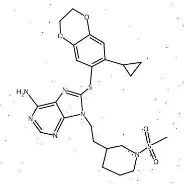 CS(=O)(=O)N1CCCC(CCn2c(Sc3cc4c(cc3C3CC3)OCCO4)nc3c(N)ncnc32)C1